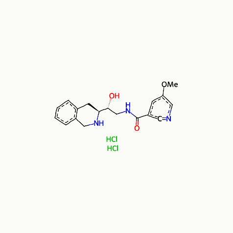 COc1cncc(C(=O)NC[C@@H](O)[C@@H]2Cc3ccccc3CN2)c1.Cl.Cl